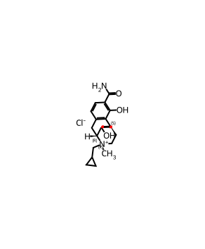 C[N@+]1(CC2CC2)CC[C@]23CCCCC2(O)[C@H]1Cc1ccc(C(N)=O)c(O)c13.[Cl-]